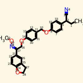 CCC(C#N)c1ccc(OCc2ccc(OC/C(=N\OC)c3ccc4c(c3)CCO4)cc2)cc1